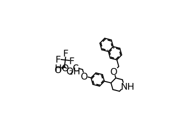 O=C(O)C(F)(F)F.O=C(O)COc1ccc(C2CCNCC2OCc2ccc3ccccc3c2)cc1